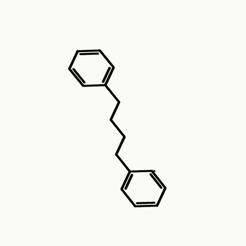 [c]1ccccc1CCCCc1ccccc1